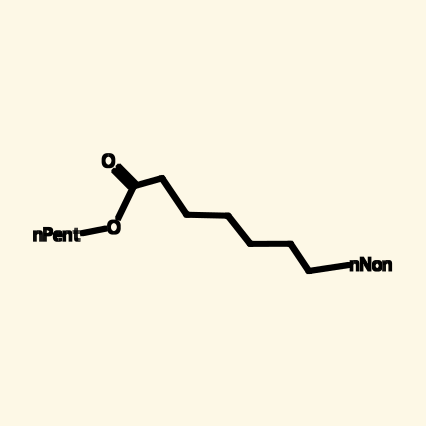 CCCCCCCCCCCCCCCC(=O)OCCCCC